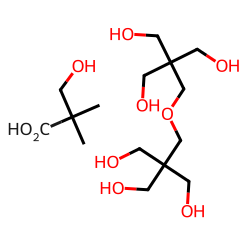 CC(C)(CO)C(=O)O.OCC(CO)(CO)COCC(CO)(CO)CO